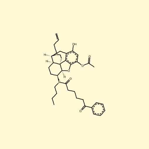 C=CCN1CC[C@]23c4c5c(O)cc(OC(C)=O)c4O[C@H]2[C@@H](N(CCCC)C(=O)CCCCC(=O)c2ccccc2)CC[C@H]3[C@H]1C5